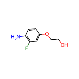 Nc1ccc(OCCO)cc1F